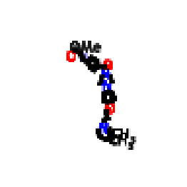 COC(=O)/C=C/c1ccc(C(=O)N2CCN(c3ccc(OCCCN4CCCC(C)(C)C4)cc3)CC2)cc1